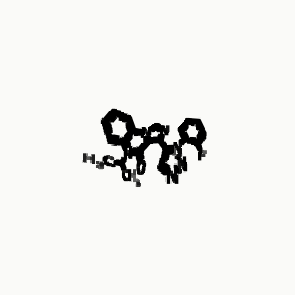 CC(C)n1c(=O)c2c(-c3cnnn3-c3ccccc3F)ncn2c2ccccc21